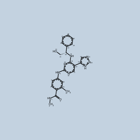 CNC(=O)c1ccc(Nc2ncc(-c3cnn[nH]3)c(N[C@H](CO)c3ccccc3)n2)cc1C